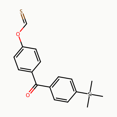 C[Si](C)(C)c1ccc(C(=O)c2ccc(OC=S)cc2)cc1